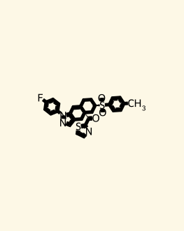 Cc1ccc(S(=O)(=O)[C@@H]2CCC3=Cc4c(cnn4-c4ccc(F)cc4)C[C@]3(C(=O)c3nccs3)C2)cc1